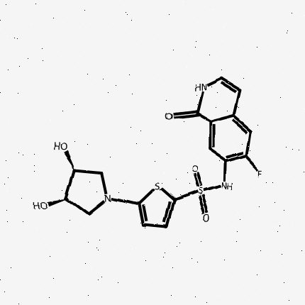 O=c1[nH]ccc2cc(F)c(NS(=O)(=O)c3ccc(N4C[C@@H](O)[C@@H](O)C4)s3)cc12